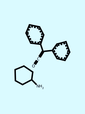 NC1CCCCC1.O=C=C(c1ccccc1)c1ccccc1